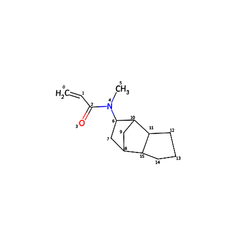 C=CC(=O)N(C)C1CC2CC1C1CCCC21